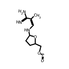 C/C(=C/NC1CCC(COP=O)O1)C(=N)N